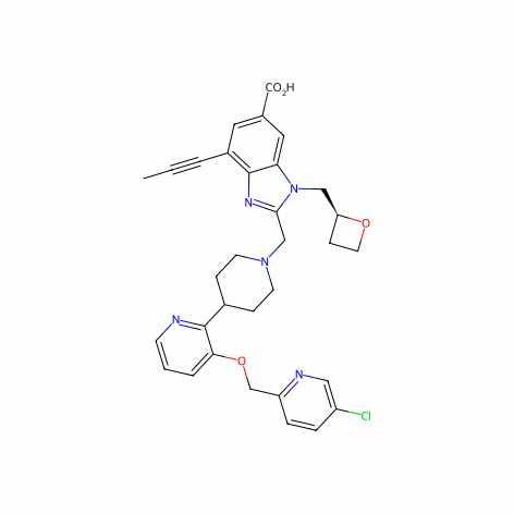 CC#Cc1cc(C(=O)O)cc2c1nc(CN1CCC(c3ncccc3OCc3ccc(Cl)cn3)CC1)n2C[C@@H]1CCO1